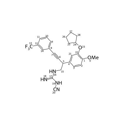 COc1ccc(C(C#Cc2cccc(C(F)(F)F)c2)CNC(=N)NC#N)cc1OC1CCCC1